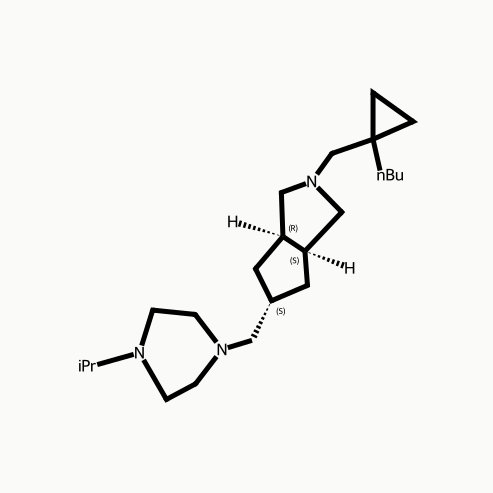 CCCCC1(CN2C[C@H]3C[C@H](CN4CCN(C(C)C)CC4)C[C@H]3C2)CC1